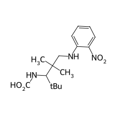 CC(C)(C)C(NC(=O)O)C(C)(C)CNc1ccccc1[N+](=O)[O-]